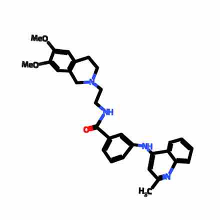 COc1cc2c(cc1OC)CN(CCNC(=O)c1cccc(Nc3cc(C)nc4ccccc34)c1)CC2